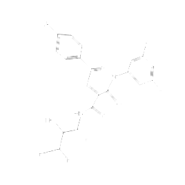 O=C(NC(F)C(O)C(F)F)c1cc(-c2ccc(Cl)cc2)nn(-c2cc(F)cc(F)c2)c1=O